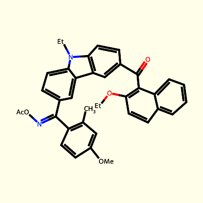 CCOc1ccc2ccccc2c1C(=O)c1ccc2c(c1)c1cc(/C(=N\OC(C)=O)c3ccc(OC)cc3C)ccc1n2CC